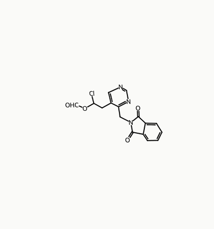 O=COC(Cl)Cc1cncnc1CN1C(=O)c2ccccc2C1=O